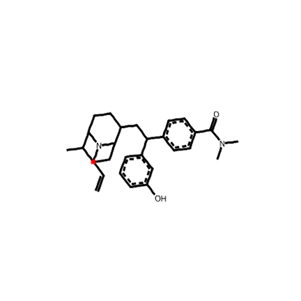 C=CCN1C2CCC(CC(c3ccc(C(=O)N(C)C)cc3)c3cccc(O)c3)C1CCC2C